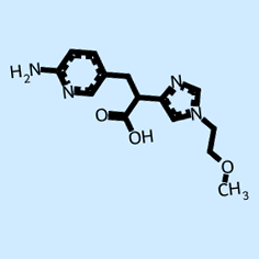 COCCn1cnc(C(Cc2ccc(N)nc2)C(=O)O)c1